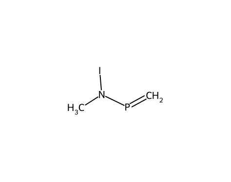 C=PN(C)I